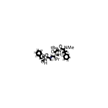 CN[C@H](C(=O)N[C@H](C(=O)N(C)[C@H](/C=C(\C)C(=O)NS(=O)(=O)Cc1ccccc1)C(C)C)C(C)(C)C)C(C)(C)C1CCCCC1